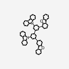 c1ccc2c(c1)oc1ccc(-c3cc(-c4cc(-c5cccc6c5oc5ccccc56)cc(-n5c6ccccc6c6ccccc65)c4)cc(-n4c5ccccc5c5ccccc54)c3)cc12